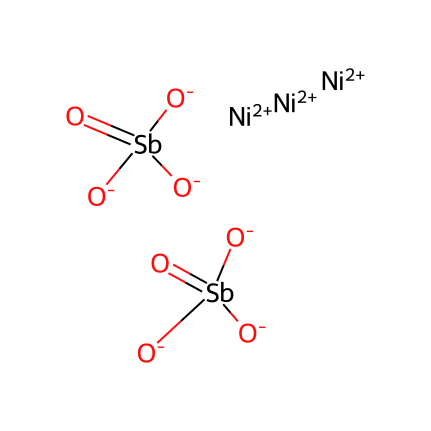 [Ni+2].[Ni+2].[Ni+2].[O]=[Sb]([O-])([O-])[O-].[O]=[Sb]([O-])([O-])[O-]